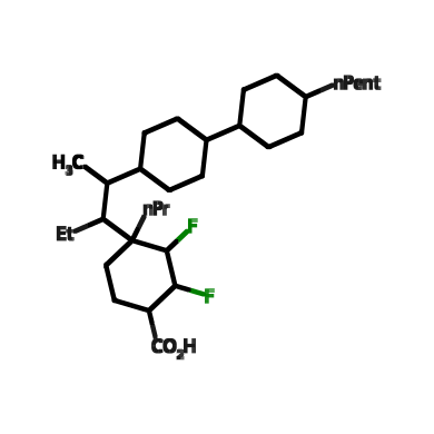 CCCCCC1CCC(C2CCC(C(C)C(CC)C3(CCC)CCC(C(=O)O)C(F)C3F)CC2)CC1